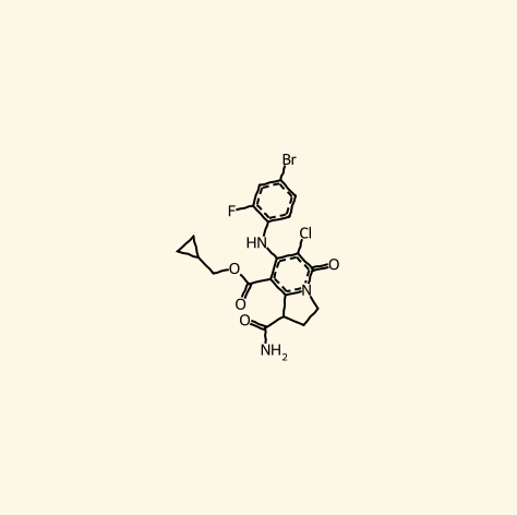 NC(=O)C1CCn2c1c(C(=O)OCC1CC1)c(Nc1ccc(Br)cc1F)c(Cl)c2=O